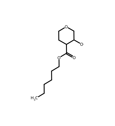 CCCCCCOC(=O)C1CCOCC1[O]